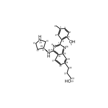 Cc1ccc(O)c(-c2nc(N[C@H]3CCNC3)c3ccc(CCCO)cc3n2)c1